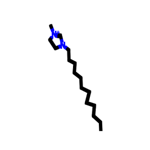 CCCCCCCCCCCCN1C=[N+](C)CC1